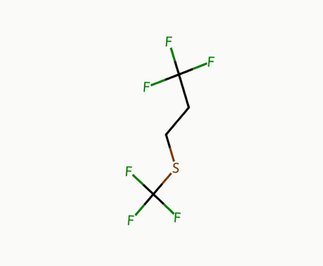 FC(F)(F)CCSC(F)(F)F